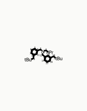 CC(C)CN(Cc1cccc(CC(C)(C)C)c1)Cc1cccc(CC(C)(C)C)c1